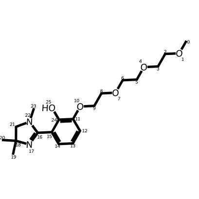 COCCOCCOCCOc1cccc(C2=NC(C)(C)CN2C)c1O